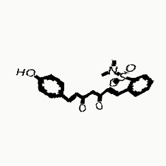 CN(C)S(=O)(=O)c1ccccc1C=CC(=O)CC(=O)C=Cc1ccc(O)cc1